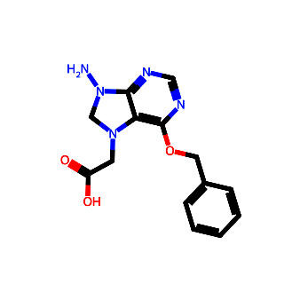 NN1CN(CC(=O)O)c2c(OCc3ccccc3)ncnc21